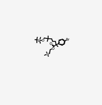 CC(C)(CCCC(C)(C(=O)OCC[Si](C)(C)C)c1ccc(Br)cc1)CO[Si](C)(C)C(C)(C)C